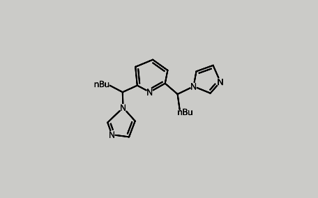 CCCCC(c1cccc(C(CCCC)n2ccnc2)n1)n1ccnc1